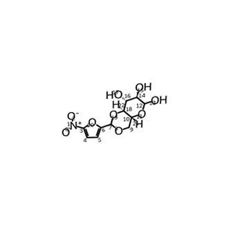 O=[N+]([O-])c1ccc(C2OC[C@H]3OC(O)[C@H](O)[C@@H](O)[C@@H]3O2)o1